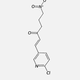 O=C(C=Cc1ccc(Cl)nc1)CCC[N+](=O)[O-]